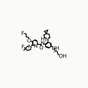 CC1(F)CCN(c2nc(C(=O)Nc3ccc(NSCCO)cc3N3CCC4(CC3)CC4)ccc2OCCCF)C1